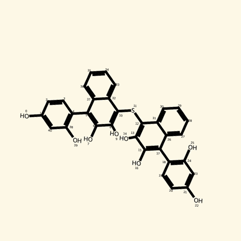 Oc1ccc(-c2c(O)c(O)c(Sc3c(O)c(O)c(-c4ccc(O)cc4O)c4ccccc34)c3ccccc23)c(O)c1